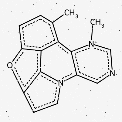 Cc1ccc2oc3ccn4c5cnc[n+](C)c5c1c2c34